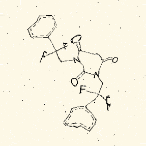 O=C1CC(=O)N(CC(F)(F)c2ccccc2)C(=O)N1CC(F)(F)c1ccccc1